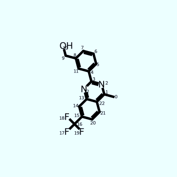 Cc1nc(-c2cccc(CO)c2)nc2cc(C(F)(F)F)ccc12